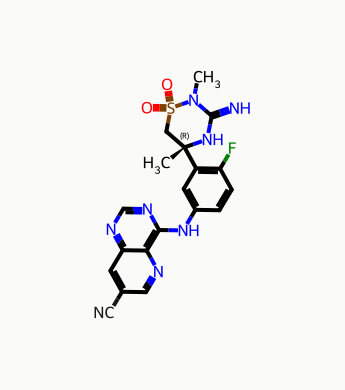 CN1C(=N)N[C@](C)(c2cc(Nc3ncnc4cc(C#N)cnc34)ccc2F)CS1(=O)=O